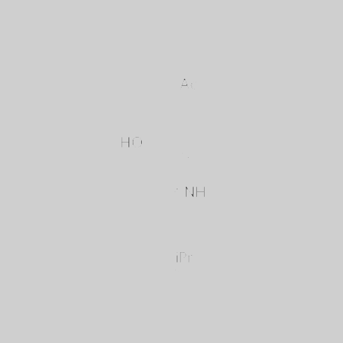 CC(=O)/C=C(\O)NCC(C)C